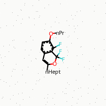 CCCCCCCC1=Cc2ccc(OCCC)c(F)c2C(F)(F)O1